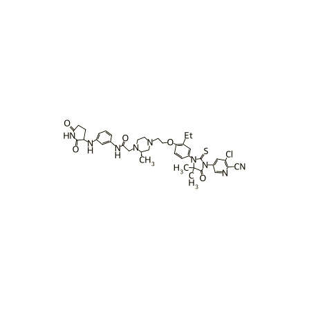 CCc1cc(N2C(=S)N(c3cnc(C#N)c(Cl)c3)C(=O)C2(C)C)ccc1OCCN1CCN(CC(=O)Nc2cccc(NC3CCC(=O)NC3=O)c2)[C@H](C)C1